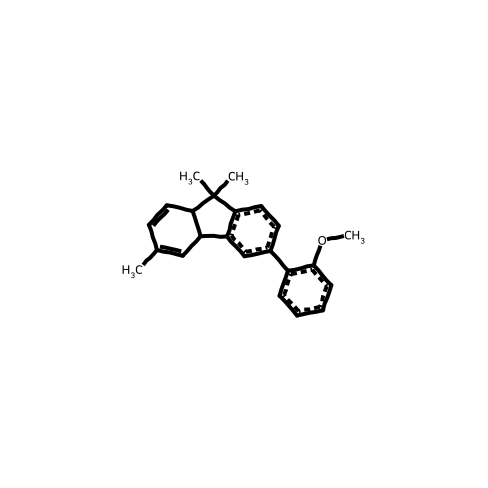 COc1ccccc1-c1ccc2c(c1)C1C=C(C)C=CC1C2(C)C